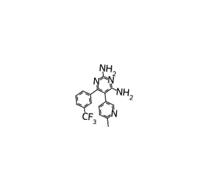 Cc1ccc(-c2c(N)nc(N)nc2-c2cccc(C(F)(F)F)c2)cn1